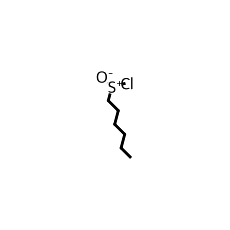 CCCCCC[S+]([O-])Cl